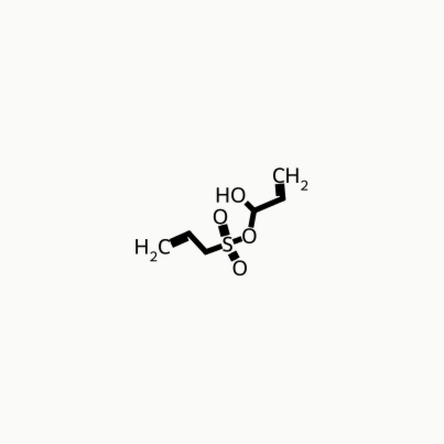 C=CCS(=O)(=O)OC(O)C=C